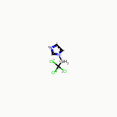 ClC(Cl)(Cl)[SiH2]n1ccnc1